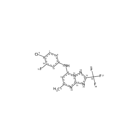 Cc1cc(Nc2ccc(Cl)c(F)c2)n2nc(C(F)(F)F)nc2n1